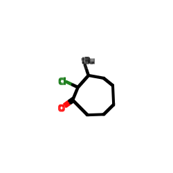 CC(C)(C)C1CCCCCC(=O)C1Cl